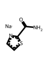 NC(=O)c1nccs1.[Na]